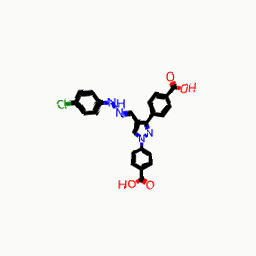 O=C(O)c1ccc(-c2nn(-c3ccc(C(=O)O)cc3)cc2/C=N/Nc2ccc(Cl)cc2)cc1